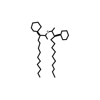 CCCCCCCCCCC(=C1CCCCC1)C(C)SC(C)C(CCCCCCCCCC)=C1CCCCC1